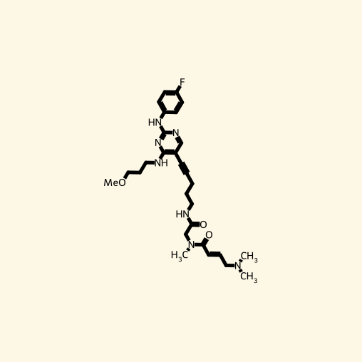 COCCCNc1nc(Nc2ccc(F)cc2)ncc1C#CCCCNC(=O)CN(C)C(=O)/C=C/CN(C)C